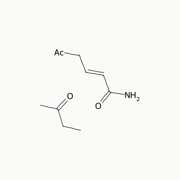 CC(=O)CC=CC(N)=O.CCC(C)=O